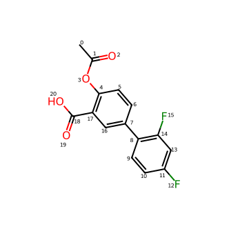 CC(=O)Oc1ccc(-c2ccc(F)cc2F)cc1C(=O)O